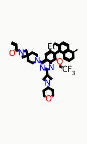 C=CC(=O)N1CC2(CCN(c3nc(C4CN(C5CCOCC5)C4)nc4c(OCC(F)(F)F)c(-c5c(C)ccc6c5C=CC[C@@H]6C)c(CC)cc34)CC2)C1